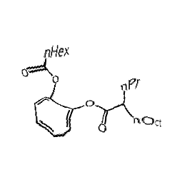 CCCCCCCCC(CCC)C(=O)Oc1ccccc1OC(=O)CCCCCC